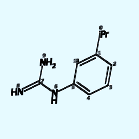 CC(C)c1cccc(NC(=N)N)c1